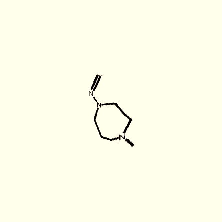 [CH]=NN1CCN(C)CC1